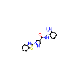 Nc1ccccc1CNC(=O)c1cnn(-c2nc3ccccc3s2)c1